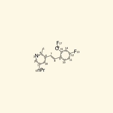 CCCc1cnc(C)c(/C=C/c2ccc(F)cc2OF)c1